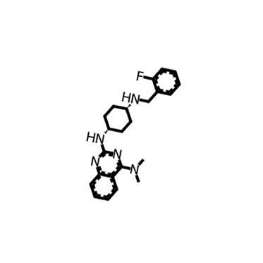 CN(C)c1nc(N[C@H]2CC[C@@H](NCc3ccccc3F)CC2)nc2ccccc12